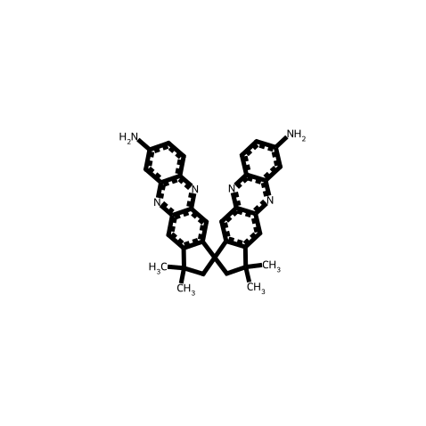 CC1(C)CC2(CC(C)(C)c3cc4nc5cc(N)ccc5nc4cc32)c2cc3nc4ccc(N)cc4nc3cc21